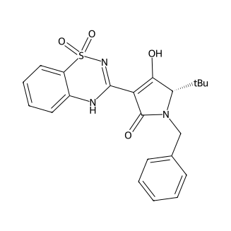 CC(C)(C)[C@H]1C(O)=C(C2=NS(=O)(=O)c3ccccc3N2)C(=O)N1Cc1ccccc1